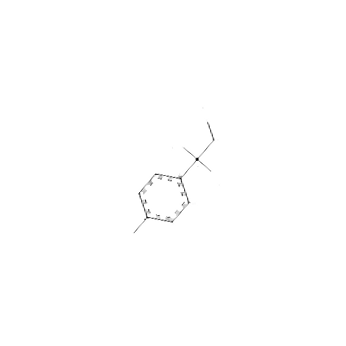 CC(C)c1ccc(C(C)(C)CS)cc1